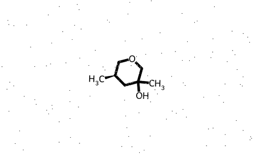 C[C@H]1COCC(C)(O)C1